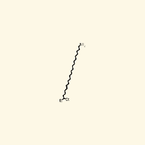 CCC(CC)CCCCCCCCCCCCCCCCCCCCCN